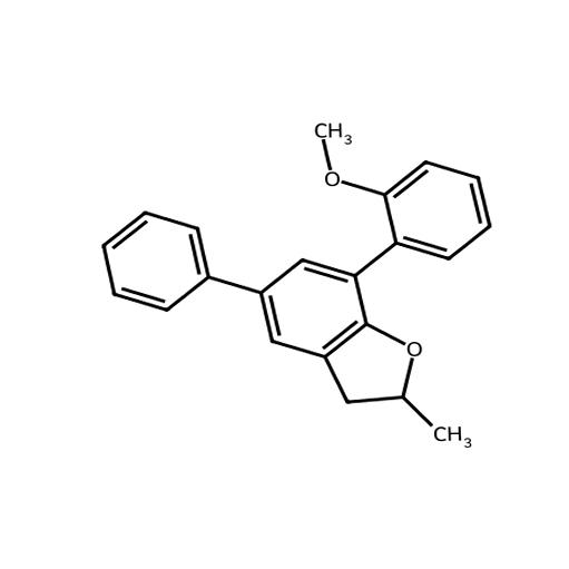 COc1ccccc1-c1cc(-c2ccccc2)cc2c1OC(C)C2